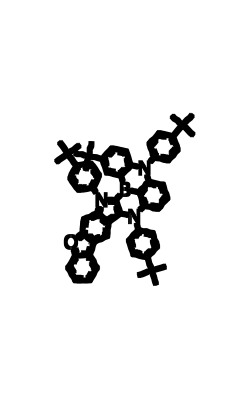 CC(C)(C)c1ccc(N2c3ccc(C(C)(C)C)cc3B3c4c2cccc4N(c2ccc(C(C)(C)C)cc2)c2c3n(-c3ccc(C(C)(C)C)cc3)c3cc4oc5ccccc5c4cc23)cc1